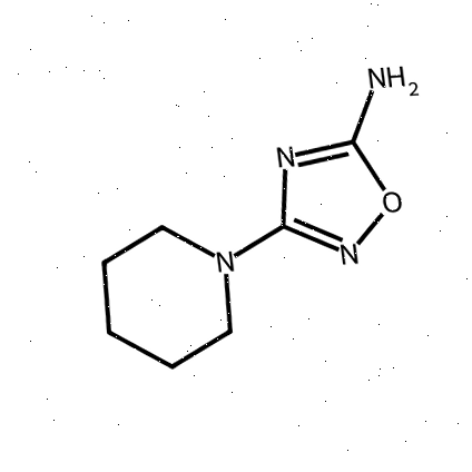 Nc1nc(N2CCCCC2)no1